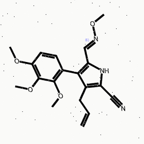 C=CCc1c(C#N)[nH]c(/C=N/OC)c1-c1ccc(OC)c(OC)c1OC